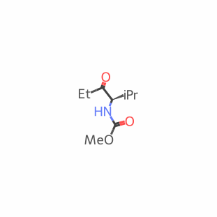 CCC(=O)[C@H](NC(=O)OC)C(C)C